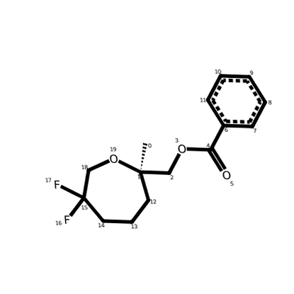 C[C@]1(COC(=O)c2ccccc2)CCCC(F)(F)CO1